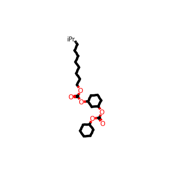 CC(C)CCCCCCCCOC(=O)OC1CCCC(OC(=O)OC2CCCCC2)C1